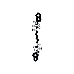 O=C(NCCCCCCNC(=O)NS(=O)(=O)c1ccc2c(c1)CCC2)NS(=O)(=O)c1ccc2c(c1)CCC2